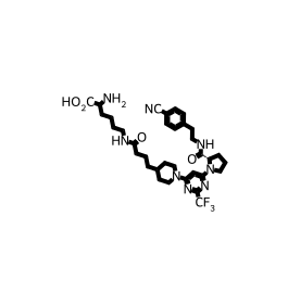 N#Cc1ccc(CCNC(=O)[C@@H]2CCCN2c2cc(N3CCC(CCCC(=O)NCCCCC(N)C(=O)O)CC3)nc(C(F)(F)F)n2)cc1